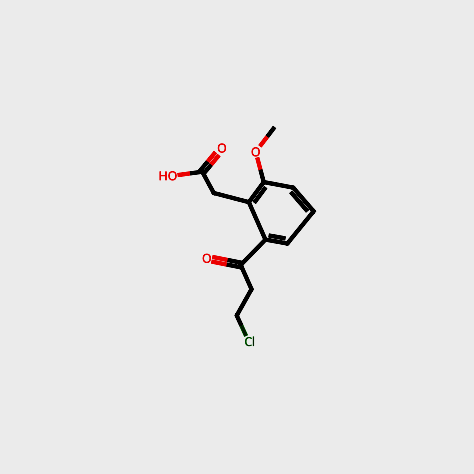 COc1cccc(C(=O)CCCl)c1CC(=O)O